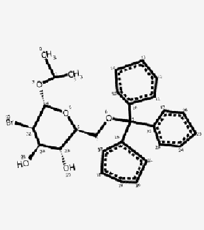 CC(C)O[C@@H]1O[C@@H](COC(c2ccccc2)(c2ccccc2)c2ccccc2)[C@H](O)[C@@H](O)[C@H]1Br